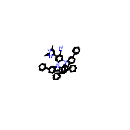 Cc1cc(-c2cc(-n3c4cc(-c5ccccc5)ccc4c4ccc(-c5ccccc5)cc43)c(-n3c4cc(-c5ccccc5)ccc4c4ccc(-c5ccccc5)cc43)cc2C#N)nc(C)n1